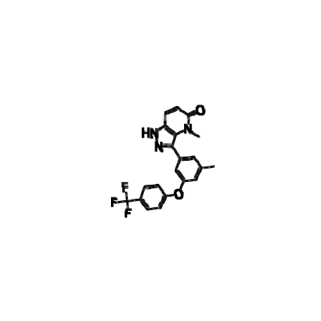 Cc1cc(Oc2ccc(C(F)(F)F)cc2)cc(-c2n[nH]c3ccc(=O)n(C)c23)c1